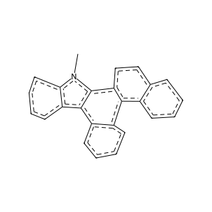 Cn1c2ccccc2c2c3ccccc3c3c4ccccc4ccc3c21